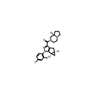 O=C(c1nn(-c2ccc(F)cc2F)c2c1C[C@H]1C[C@@H]21)N1CCN2CCC[C@H]2C1